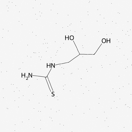 NC(=S)NCC(O)CO